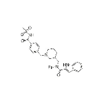 CCN(CC1CCCN(Cc2ccc(C(=O)NS(C)(=O)=O)cc2)C1)C(=O)c1cc2ccccc2[nH]1